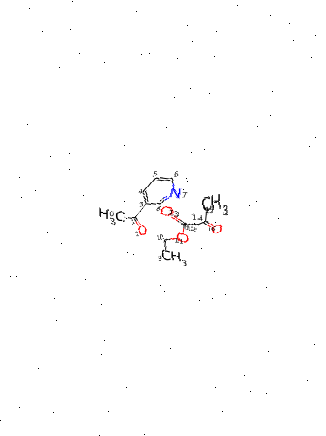 CC(=O)c1cccnc1.CCOC(=O)C(C)=O